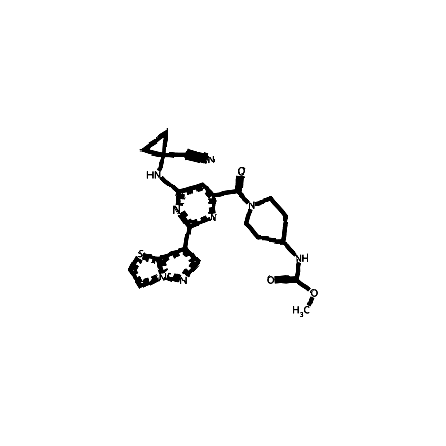 COC(=O)NC1CCN(C(=O)c2cc(NC3(C#N)CC3)nc(-c3cnn4ccsc34)n2)CC1